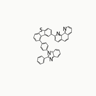 C1=CC2=NC(c3ccccc3)=[N+](c3ccc(-c4cccc5sc6ccc(-c7ccc8ccc9cccnc9c8n7)cc6c45)cc3)C2C=C1